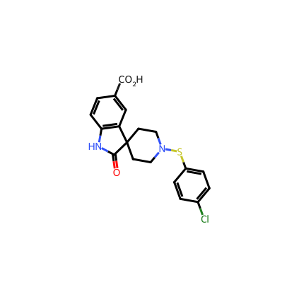 O=C(O)c1ccc2c(c1)C1(CCN(Sc3ccc(Cl)cc3)CC1)C(=O)N2